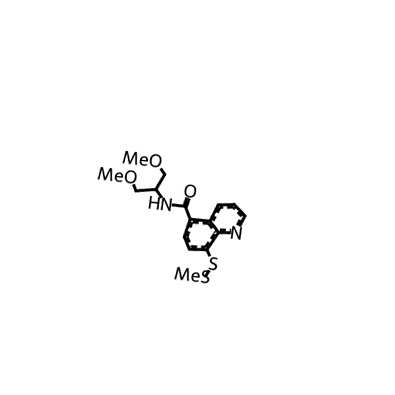 COCC(COC)NC(=O)c1ccc(SSC)c2ncccc12